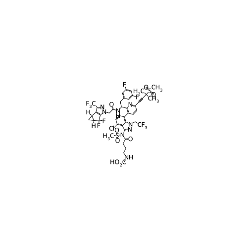 CC(C)(C#Cc1ccc(-c2ccc(Cl)c3c(N(C(=O)CCCNC(=O)O)S(C)(=O)=O)nn(CC(F)(F)F)c23)c([C@H](Cc2cc(F)cc(F)c2)NC(=O)Cn2nc(C(F)(F)F)c3c2C(F)(F)[C@@H]2C[C@H]32)n1)S(C)(=O)=O